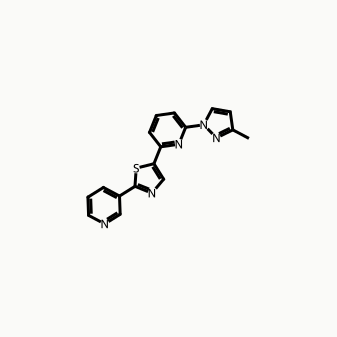 Cc1ccn(-c2cccc(-c3cnc(-c4cccnc4)s3)n2)n1